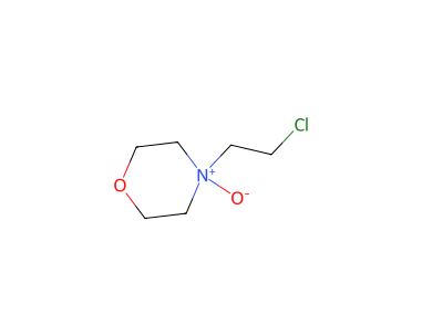 [O-][N+]1(CCCl)CCOCC1